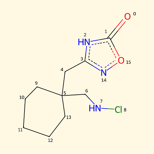 O=c1[nH]c(CC2(CNCl)CCCCC2)no1